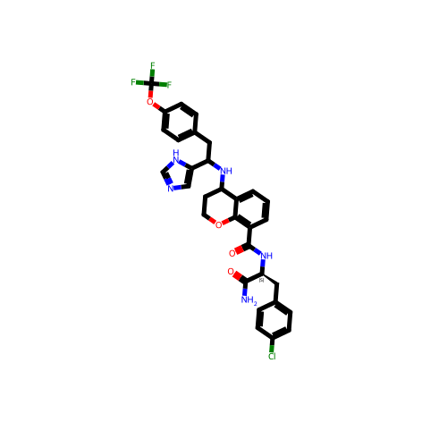 NC(=O)[C@H](Cc1ccc(Cl)cc1)NC(=O)c1cccc2c1OCCC2NC(Cc1ccc(OC(F)(F)F)cc1)c1cnc[nH]1